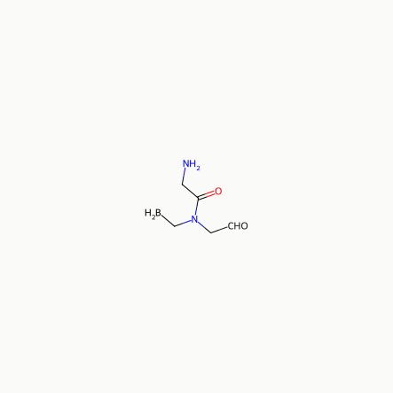 BCN(CC=O)C(=O)CN